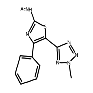 CC(=O)Nc1nc(-c2ccccc2)c(-c2nnn(C)n2)s1